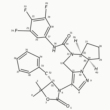 CC1(C)OC(=O)N(c2cnn3c2CN(C(=O)Nc2cc(F)c(F)c(F)c2)[C@H]2CCC[C@H]23)[C@H]1Cc1ccccc1